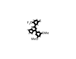 COc1cc(OC)cc(-c2cc(-c3cc(F)ccc3C(F)(F)F)nc3c2CCC3)c1